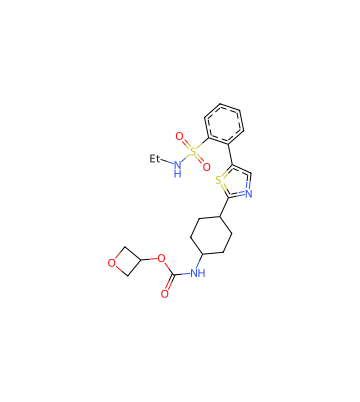 CCNS(=O)(=O)c1ccccc1-c1cnc(C2CCC(NC(=O)OC3COC3)CC2)s1